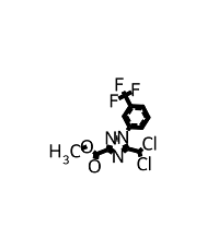 COC(=O)c1nc(C(Cl)Cl)n(-c2cccc(C(F)(F)F)c2)n1